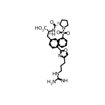 N=C(N)NCCCc1coc(-c2ccc(C[C@H](NC(=O)[C@@H]3CCCN3S(=O)(=O)c3ccccc3)C(=O)O)cc2)n1